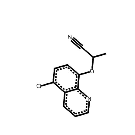 CC(C#N)Oc1ccc(Cl)c2cccnc12